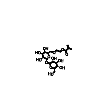 C=C(C)C(=O)OCCOC[C@H]1O[C@H](OC2O[C@H](CO)[C@@H](O)[C@H](O)[C@H]2O)[C@H](O)[C@@H](O)[C@@H]1O